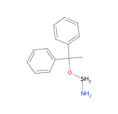 CC(O[SiH2]N)(c1ccccc1)c1ccccc1